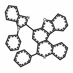 c1ccc(-c2nc3ccccc3c3c2cc(-c2nc4ccccc4n2-c2ccccc2)c2oc4ccccc4c23)cc1